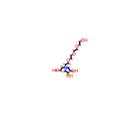 OCCOCCOCCOCC[N+](CCO)(CCO)CCO